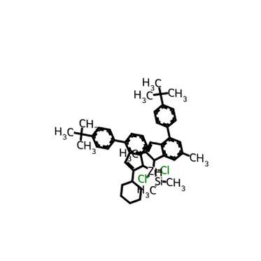 CC1=Cc2c(-c3ccc(C(C)(C)C)cc3)cc(C)cc2[CH]1[Zr]([Cl])([Cl])([CH]1C(C2CCCCC2)=Cc2c(-c3ccc(C(C)(C)C)cc3)cccc21)[SiH](C)C